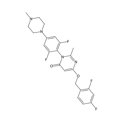 Cc1nc(OCc2ccc(F)cc2F)cc(=O)n1-c1c(F)cc(N2CCN(C)CC2)cc1F